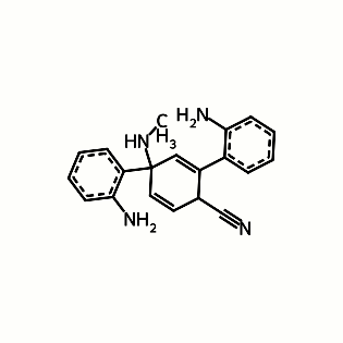 CNC1(c2ccccc2N)C=CC(C#N)C(c2ccccc2N)=C1